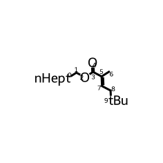 CCCCCCCCOC(=O)C(C)=CCC(C)(C)C